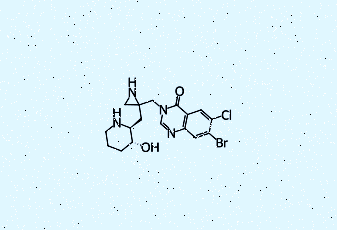 O=c1c2cc(Cl)c(Br)cc2ncn1CC1(C[C@@H]2NCCC[C@H]2O)CN1